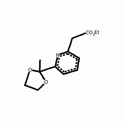 CCOC(=O)Cc1cccc(C2(C)OCCO2)n1